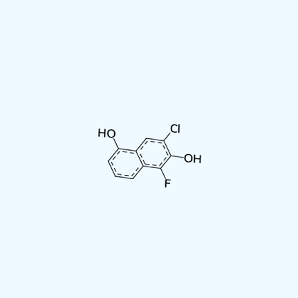 Oc1c(Cl)cc2c(O)cccc2c1F